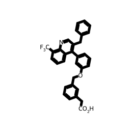 O=C(O)Cc1cccc(COc2cccc(-c3c(Cc4ccccc4)cnc4c(C(F)(F)F)cccc34)c2)c1